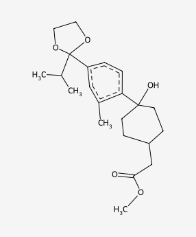 COC(=O)CC1CCC(O)(c2ccc(C3(C(C)C)OCCO3)cc2C)CC1